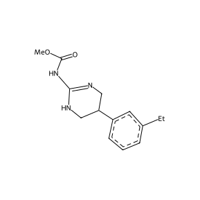 CCc1cccc(C2CN=C(NC(=O)OC)NC2)c1